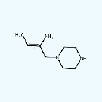 C/C=C(\N)CN1CCNCC1